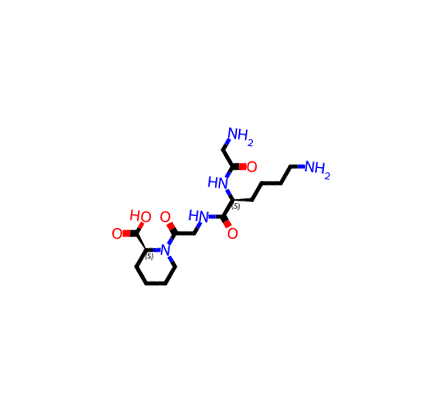 NCCCC[C@H](NC(=O)CN)C(=O)NCC(=O)N1CCCC[C@H]1C(=O)O